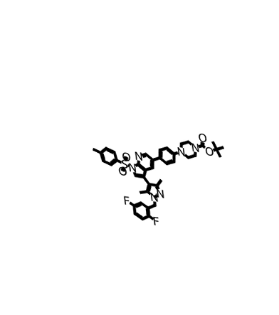 Cc1ccc(S(=O)(=O)n2cc(-c3c(C)nn(Cc4cc(F)ccc4F)c3C)c3cc(-c4ccc(N5CCN(C(=O)OC(C)(C)C)CC5)cc4)cnc32)cc1